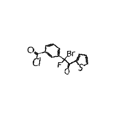 O=C(Cl)c1cccc(C(F)(Br)C(=O)c2cccs2)c1